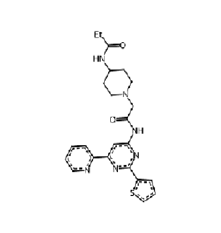 CCC(=O)NC1CCN(CC(=O)Nc2cc(-c3ccccn3)nc(-c3cccs3)n2)CC1